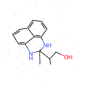 CC(CO)C1(C)Nc2cccc3cccc(c23)N1